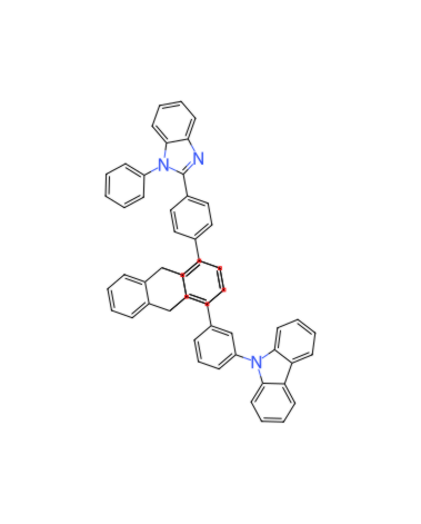 c1ccc(-n2c(-c3ccc(-c4ccc(-c5cccc(-n6c7ccccc7c7ccccc76)c5)c5c4C4c6ccccc6C5c5ccccc54)cc3)nc3ccccc32)cc1